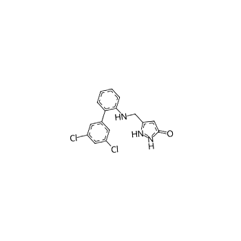 O=c1cc(CNc2ccccc2-c2cc(Cl)cc(Cl)c2)[nH][nH]1